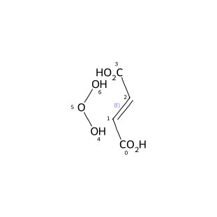 O=C(O)/C=C/C(=O)O.OOO